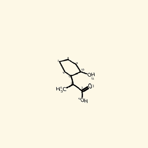 CC(C(=O)O)C1CCCCC1O